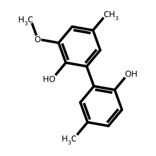 COc1cc(C)cc(-c2cc(C)ccc2O)c1O